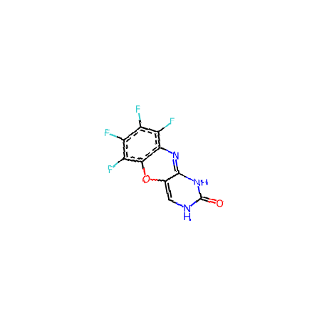 O=C1NC=C2Oc3c(F)c(F)c(F)c(F)c3N=C2N1